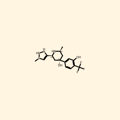 C[C@H]1C[C@@](O)(c2ccc(C(F)(F)F)c(O)c2)C[C@@H](C2=CN(C)NN2)N1